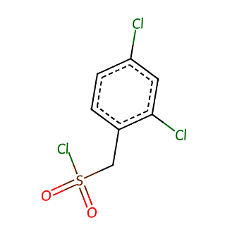 O=S(=O)(Cl)Cc1ccc(Cl)cc1Cl